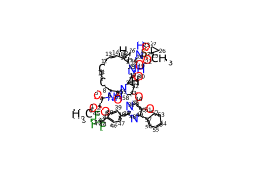 COC(=O)C(=O)N[C@H]1CCCCC/C=C\[C@@H]2C[C@@]2(C(=O)NS(=O)(=O)C2(C)CC2)NC(=O)[C@@H]2C[C@@H](Oc3nc(-c4ccc(C(F)(F)F)cc4)nc4c3oc3ccccc34)CN2C1=O